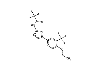 CCOc1ccc(-c2csc(NC(=O)C(F)(F)F)n2)cc1C(F)(F)F